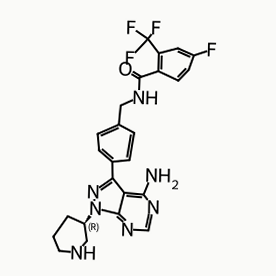 Nc1ncnc2c1c(-c1ccc(CNC(=O)c3ccc(F)cc3C(F)(F)F)cc1)nn2[C@@H]1CCCNC1